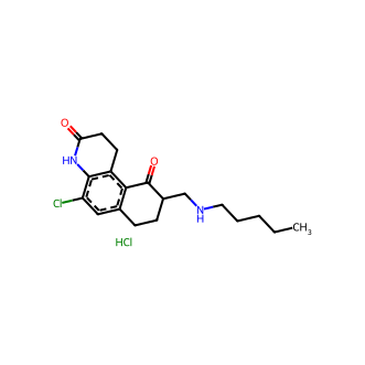 CCCCCNCC1CCc2cc(Cl)c3c(c2C1=O)CCC(=O)N3.Cl